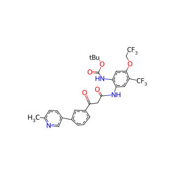 Cc1ccc(-c2cccc(C(=O)CC(=O)Nc3cc(C(F)(F)F)c(OCC(F)(F)F)cc3NC(=O)OC(C)(C)C)c2)cn1